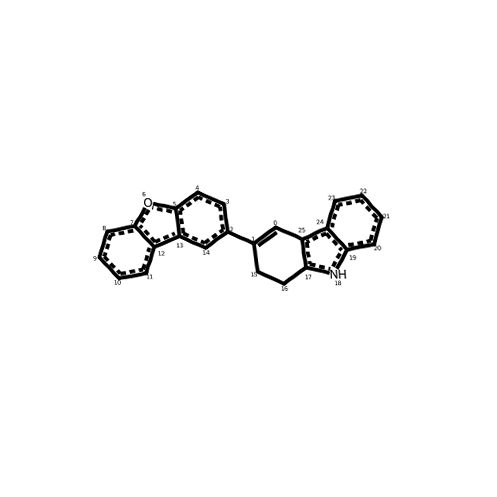 C1=C(c2ccc3oc4ccccc4c3c2)CCc2[nH]c3ccccc3c21